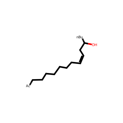 CCCCC(O)C/C=C\CCCCCCCC(C)=O